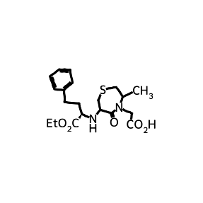 CCOC(=O)[C@@H](CCc1ccccc1)NC1CSCC(C)N(CC(=O)O)C1=O